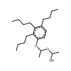 CCCCc1ccc(OC(C)OC(C)O)c(CCCC)c1CCCC